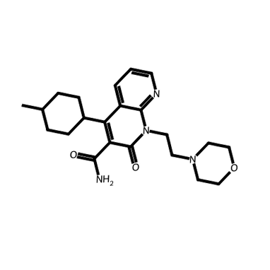 CC1CCC(c2c(C(N)=O)c(=O)n(CCN3CCOCC3)c3ncccc23)CC1